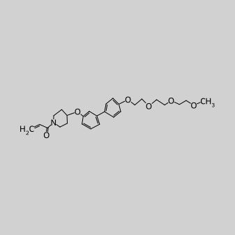 C=CC(=O)N1CCC(Oc2cccc(-c3ccc(OCCOCCOCCOC)cc3)c2)CC1